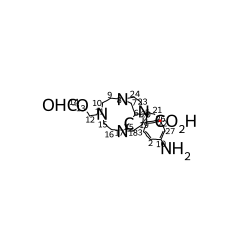 Nc1ccc(CC2CN3CCN(COC=O)CCN(CCN(CC(=O)O)CC3)C2)cc1